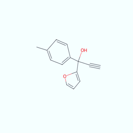 C#CC(O)(c1ccc(C)cc1)c1ccco1